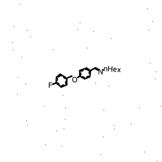 CCCCCCN=Cc1ccc(OCc2ccc(F)cc2)cc1